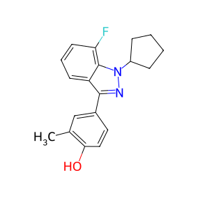 Cc1cc(-c2nn(C3CCCC3)c3c(F)cccc23)ccc1O